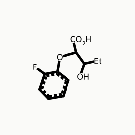 CCC(O)C(Oc1ccccc1F)C(=O)O